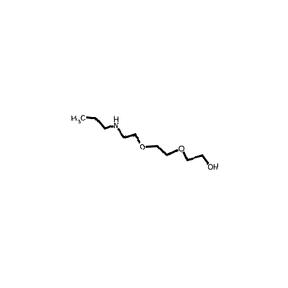 CCCNCCOCCOCCO